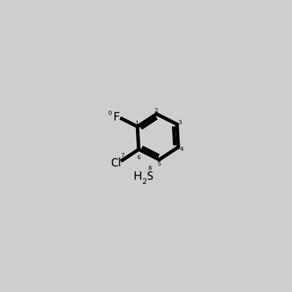 Fc1ccccc1Cl.S